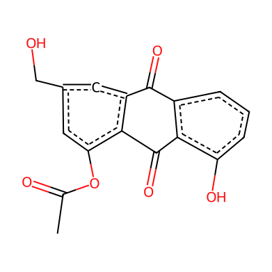 CC(=O)Oc1cc(CO)cc2c1C(=O)c1c(O)cccc1C2=O